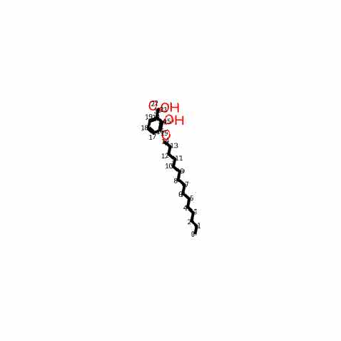 CCCCCCCCCCCCCCCOc1cccc(C(=O)O)c1O